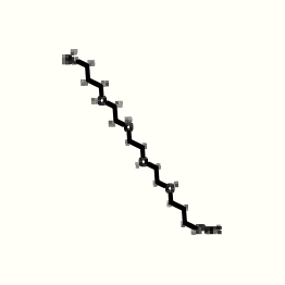 CCCC(C)CCCOCCOCCOCCOCCCC(C)CC